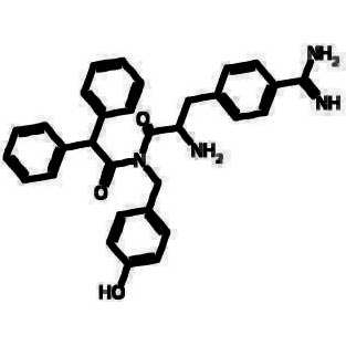 N=C(N)c1ccc(CC(N)C(=O)N(Cc2ccc(O)cc2)C(=O)C(c2ccccc2)c2ccccc2)cc1